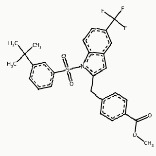 COC(=O)c1ccc(Cc2cc3cc(C(F)(F)F)ccc3n2S(=O)(=O)c2cccc(C(C)(C)C)c2)cc1